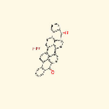 Br.O=C1c2ccccc2-c2ccc3c4ccc5c6c(ccc(c7ccc1c2c73)c64)C(=O)c1ccccc1-5